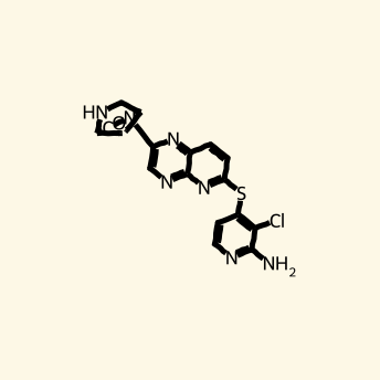 Nc1nccc(Sc2ccc3nc(N4CC5COCC4CN5)cnc3n2)c1Cl